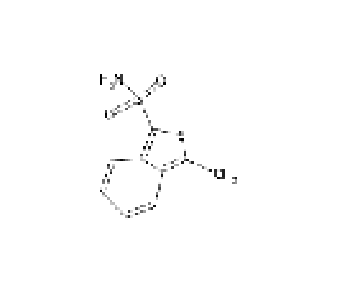 Cc1sc(S(N)(=O)=O)c2ccccc12